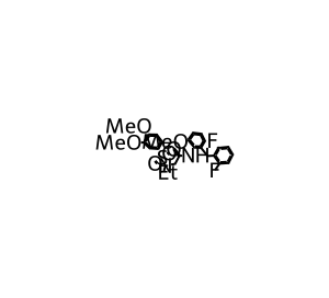 CCN(CC(=O)Nc1c(Cc2c(F)cccc2F)cccc1OC)S(=O)(=O)c1ccc(OC)c(OC)c1